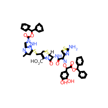 CC1=NC2=CN(C(=O)OC(c3ccccc3)c3ccccc3)NN2C(SCC2=C(C(=O)O)N3C(=O)[C@@H](NC(=O)/C(=N\OC(C(=O)OC(c4ccccc4)c4ccccc4)c4ccc(O)c(O)c4)c4csc(N)n4)[C@H]3SC2)=C1